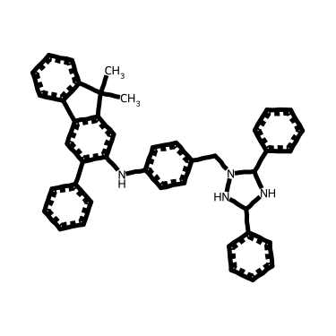 CC1(C)c2ccccc2-c2cc(-c3ccccc3)c(Nc3ccc(CN4NC(c5ccccc5)NC4c4ccccc4)cc3)cc21